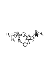 CC(C)(C)OC(=O)N[C@@H]1CCCN(c2nc3c(NS(C)(=O)=O)csc3c(=O)n2Cc2ccccc2C#N)C1